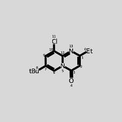 CCc1cc(=O)n2cc(C(C)(C)C)cc(Cl)c2n1